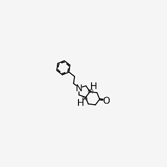 O=C1CC[C@H]2CN(CCc3ccccc3)C[C@H]2C1